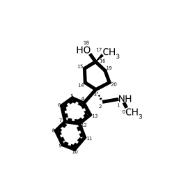 CNC[C@]1(c2ccc3ccccc3c2)CC[C@](C)(O)CC1